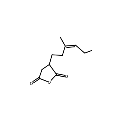 CC/C=C(/C)CCC1CC(=O)OC1=O